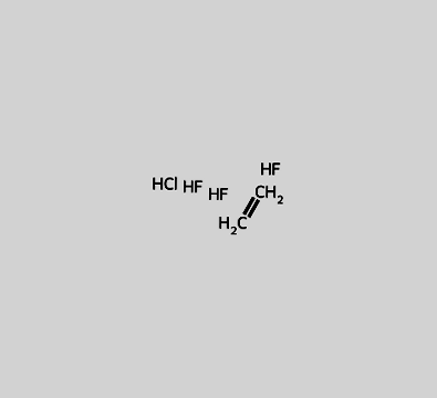 C=C.Cl.F.F.F